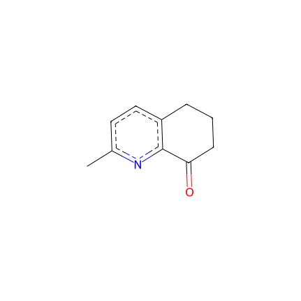 Cc1ccc2c(n1)C(=O)CCC2